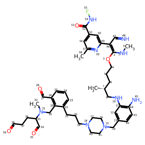 CN/C(OCCC[C@@H](C)CNc1cc(CN2CCN(CCCc3cccc(C=O)c3CN(C)C(C=O)CCC=O)CC2)ccc1N)=C(\C=N)c1cc(C(=O)NF)cc(C)n1